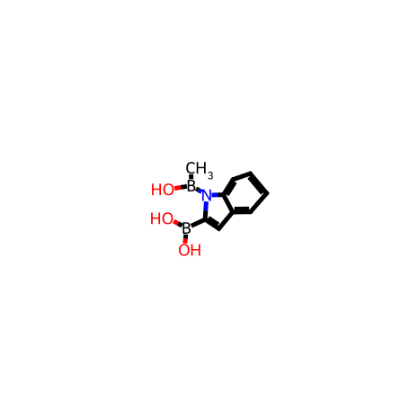 CB(O)n1c(B(O)O)cc2ccccc21